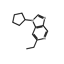 CCc1cc2c(cn1)ncn2C1CCCC1